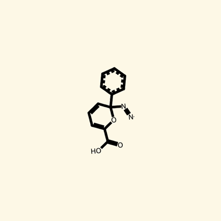 [N]=NC1(c2ccccc2)C=CC=C(C(=O)O)O1